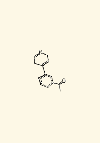 CC(=O)c1cccc(C2=CCN=CC2)c1